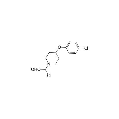 O=CC(Cl)N1CCC(Oc2ccc(Cl)cc2)CC1